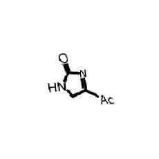 CC(=O)C1=NC(=O)NC1